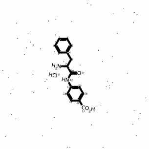 Cl.NC(Cc1ccccc1)C(=O)Nc1ccc(C(=O)O)cc1